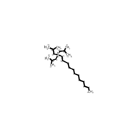 CCCCCCCCCCCC[PH](CC(C)C)(CC(C)C)CC(C)C